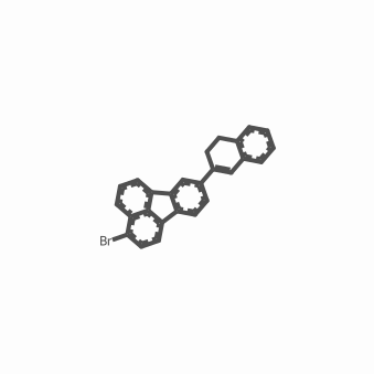 Brc1ccc2c3c(cccc13)-c1cc(C3=Cc4ccccc4CC3)ccc1-2